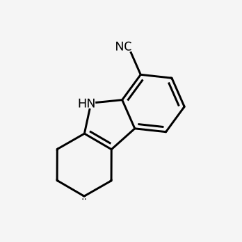 N#Cc1cccc2c3c([nH]c12)CC[C]C3